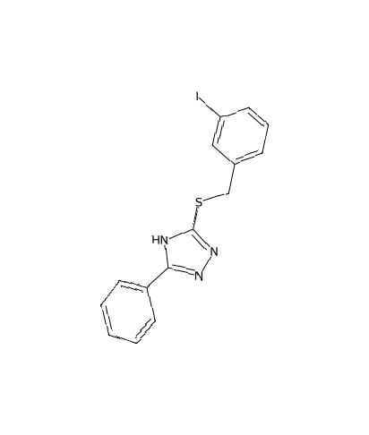 Ic1cccc(CSc2nnc(-c3ccccc3)[nH]2)c1